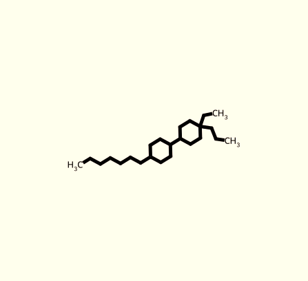 CCCCCCCC1CCC(C2CCC(CC)(CCC)CC2)CC1